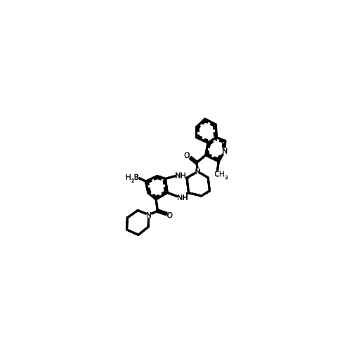 Bc1cc(N)c(N[C@@H]2CCCN(C(=O)c3c(C)ncc4ccccc34)C2)c(C(=O)N2CCCCC2)c1